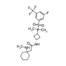 CNC1(CC(=O)N[C@H]2C[C@H](C(C)(C)S(=O)(=O)c3cc(F)cc(C(F)(F)F)c3)C2)CCCCC1